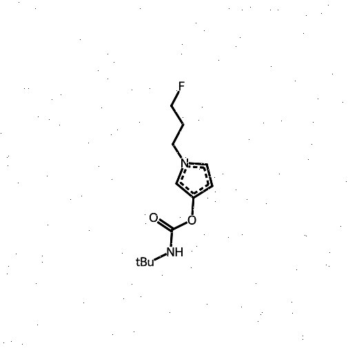 CC(C)(C)NC(=O)Oc1ccn(CCCF)c1